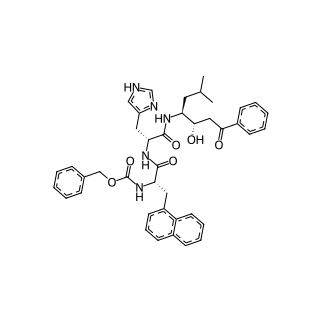 CC(C)C[C@H](NC(=O)[C@@H](Cc1c[nH]cn1)NC(=O)[C@H](Cc1cccc2ccccc12)NC(=O)OCc1ccccc1)[C@@H](O)CC(=O)c1ccccc1